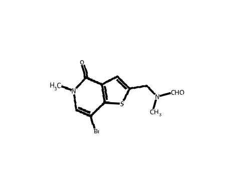 CN(C=O)Cc1cc2c(=O)n(C)cc(Br)c2s1